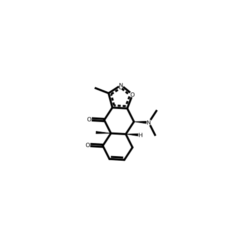 Cc1noc2c1C(=O)[C@@]1(C)C(=O)C=CC[C@H]1[C@@H]2N(C)C